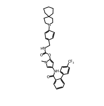 Cn1cc(NC(=O)c2ccccc2-c2ccc(C(F)(F)F)cc2)cc1OC(=O)NCc1ccc(N2CCC3(CCCCC3)CC2)cc1